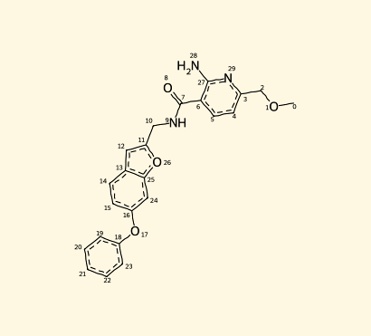 COCc1ccc(C(=O)NCc2cc3ccc(Oc4ccccc4)cc3o2)c(N)n1